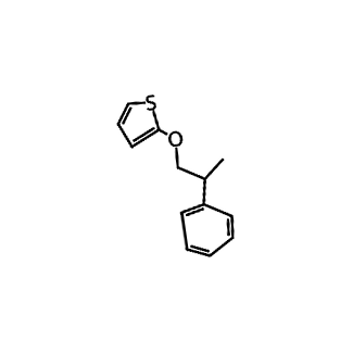 CC(COc1cccs1)c1ccccc1